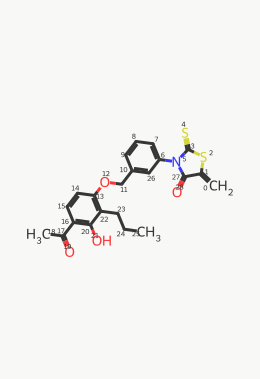 C=C1SC(=S)N(c2cccc(COc3ccc(C(C)=O)c(O)c3CCC)c2)C1=O